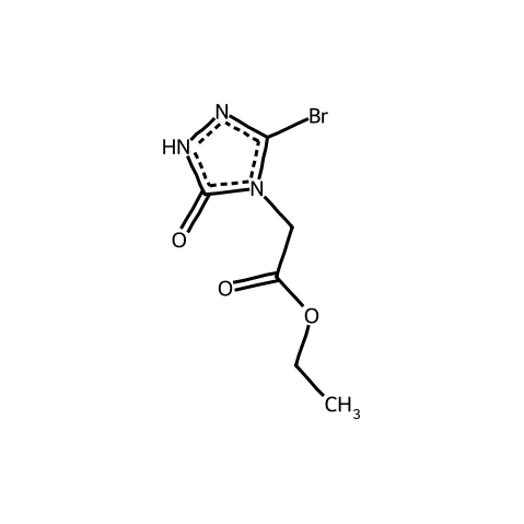 CCOC(=O)Cn1c(Br)n[nH]c1=O